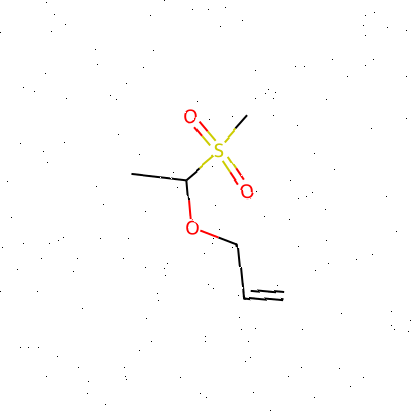 C=CCOC(C)S(C)(=O)=O